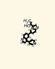 CCC(O)c1cnc2ccc(-c3ccc4nccc(-c5ccncc5)c4c3)cn12